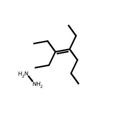 CCCC(CC)=C(CC)CC.NN